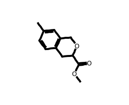 COC(=O)C1Cc2ccc(C)cc2CO1